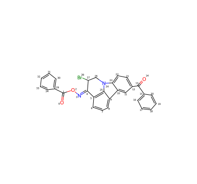 O=C(O/N=C1/c2cccc3c4cc(C(=O)c5ccccc5)ccc4n(c23)CC1Br)c1ccccc1